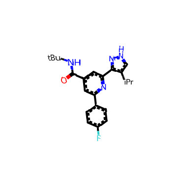 CC(C)c1c[nH]nc1-c1cc(C(=O)NC(C)(C)C)cc(-c2ccc(F)cc2)n1